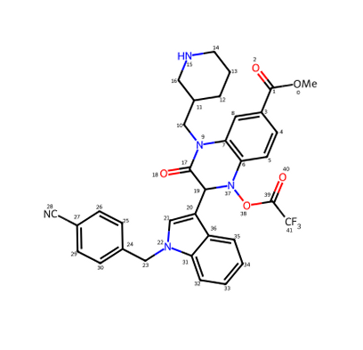 COC(=O)c1ccc2c(c1)N(CC1CCCNC1)C(=O)C(c1cn(Cc3ccc(C#N)cc3)c3ccccc13)N2OC(=O)C(F)(F)F